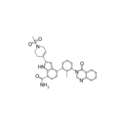 Cc1c(-c2ccc(C(N)=O)c3[nH]c(C4=CCN(S(C)(=O)=O)CC4)cc23)cccc1-n1cnc2ccccc2c1=O